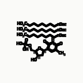 CCCCCCCCCCCCCCCCCC(=O)O.CCCCCCCCCCCCCCCCCC(=O)O.CCCCCCCCCCCCCCCCCC(=O)O.Cc1cn([C@H]2C[C@H](O)[C@@H](COP(=O)(O)O)O2)c(=O)[nH]c1=O